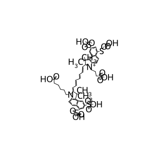 CC1(C)C(/C=C/C=C/C=C/C=C2/N(CCCCCC(=O)O)c3ccc4c(S(=O)(=O)O)cc(S(=O)(=O)O)cc4c3C2(C)C)=[N+](CCCS(=O)(=O)O)c2ccc3c(SOOO)cc(S(=O)(=O)O)cc3c21